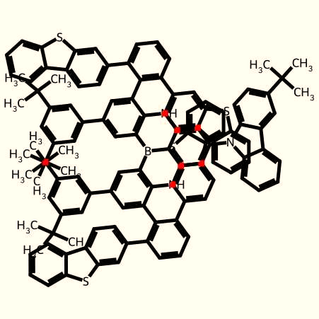 CC(C)(C)c1cc(-c2cc3c(c(-c4c(-c5ccc6c(c5)sc5ccccc56)cccc4-c4ccc5c(c4)sc4ccccc45)c2)Nc2cc(-n4c5ccccc5c5cc(C(C)(C)C)ccc54)cc4c2B3c2cc(-c3cc(C(C)(C)C)cc(C(C)(C)C)c3)cc(-c3c(-c5ccc6c(c5)sc5ccccc56)cccc3-c3ccc5c(c3)sc3ccccc35)c2N4)cc(C(C)(C)C)c1